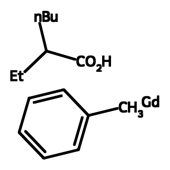 CCCCC(CC)C(=O)O.Cc1ccccc1.[Gd]